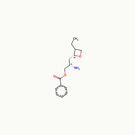 CCC1CO[C@@H]1C[C@H](N)COC(=O)c1ccccc1